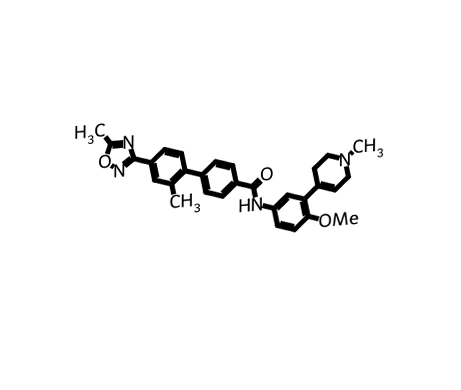 COc1ccc(NC(=O)c2ccc(-c3ccc(-c4noc(C)n4)cc3C)cc2)cc1C1=CCN(C)CC1